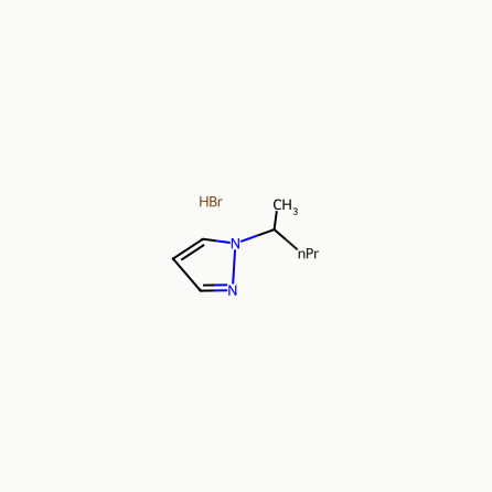 Br.CCCC(C)n1cccn1